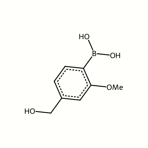 COc1cc(CO)ccc1B(O)O